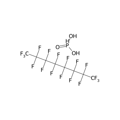 FC(F)(F)C(F)(F)C(F)(F)C(F)(F)C(F)(F)C(F)(F)C(F)(F)C(F)(F)F.O=[PH](O)O